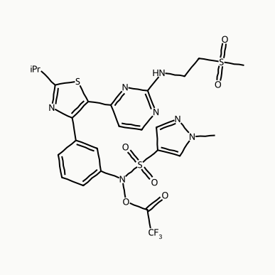 CC(C)c1nc(-c2cccc(N(OC(=O)C(F)(F)F)S(=O)(=O)c3cnn(C)c3)c2)c(-c2ccnc(NCCS(C)(=O)=O)n2)s1